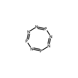 N1=NP=NP=NN=P1